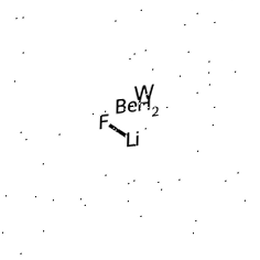 [BeH2].[Li][F].[W]